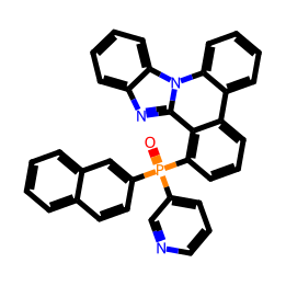 O=P(c1cccnc1)(c1ccc2ccccc2c1)c1cccc2c3ccccc3n3c4ccccc4nc3c12